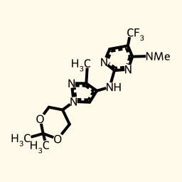 CNc1nc(Nc2cn(C3COC(C)(C)OC3)nc2C)ncc1C(F)(F)F